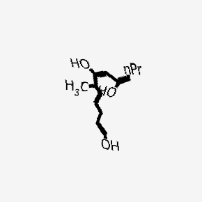 CCC/C=C(O)\C=C(\O)C(C)/C=C/C/C=C/O